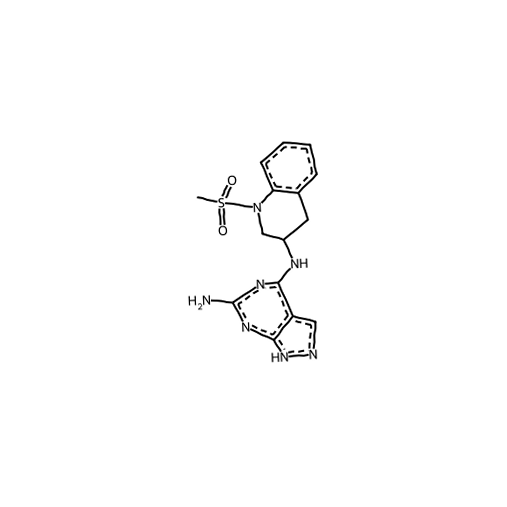 CS(=O)(=O)N1CC(Nc2nc(N)nc3[nH]ncc23)Cc2ccccc21